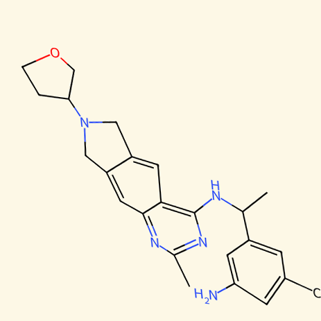 Cc1nc(NC(C)c2cc(N)cc(C(F)(F)F)c2)c2cc3c(cc2n1)CN(C1CCOC1)C3